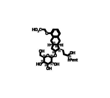 CCCCC[C@@H](O)CC[C@H]1[C@@H]2Cc3cccc(OCC(=O)O)c3C[C@@H]2C[C@@H]1O[C@@H]1O[C@H](CO)[C@H](O)[C@H](O)[C@H]1O